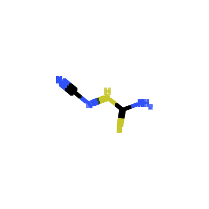 N#CN=[SH]C(N)=S